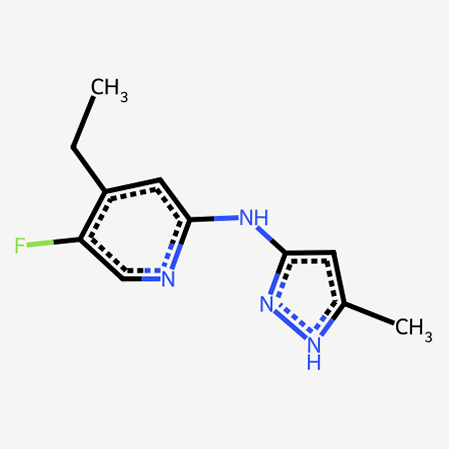 CCc1cc(Nc2cc(C)[nH]n2)ncc1F